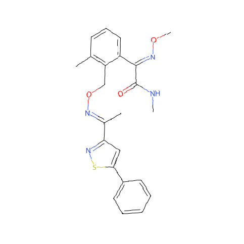 CNC(=O)/C(=N/OC)c1cccc(C)c1CO/N=C(\C)c1cc(-c2ccccc2)sn1